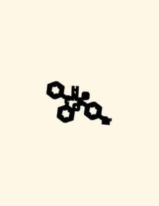 O=S(=O)(NP(c1ccccc1)c1ccccc1)c1ccc(Br)cc1